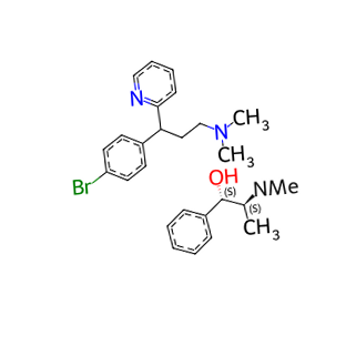 CN(C)CCC(c1ccc(Br)cc1)c1ccccn1.CN[C@@H](C)[C@@H](O)c1ccccc1